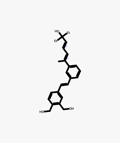 CCC(O)(/C=C/C=C(\C)c1cccc(C=Cc2ccc(CO)c(CO)c2)c1)CC